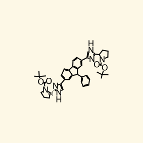 CC(C)(C)OC(=O)N1CCCC1c1nc(-c2ccc3c(c2)C(c2ccccc2)c2cc(-c4c[nH]c([C@@H]5CCCN5C(=O)OC(C)(C)C)n4)ccc2-3)c[nH]1